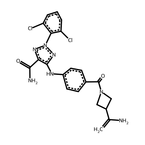 C=C(N)C1CN(C(=O)c2ccc(Nc3nn(-c4c(Cl)cccc4Cl)nc3C(N)=O)cc2)C1